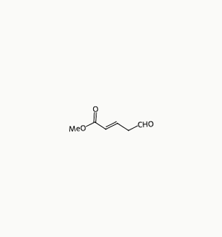 COC(=O)C=CCC=O